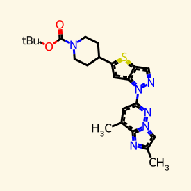 Cc1cn2nc(-n3ncc4sc(C5CCN(C(=O)OC(C)(C)C)CC5)cc43)cc(C)c2n1